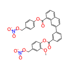 COc1cc(CO[N+](=O)[O-])ccc1OC(=O)c1cccc(-c2ccc3cccc(C(=O)Oc4ccc(CO[N+](=O)[O-])cc4)c3c2)c1